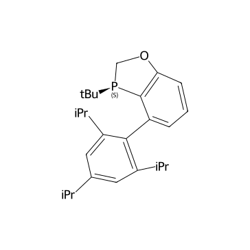 CC(C)c1cc(C(C)C)c(-c2cccc3c2[P@@](C(C)(C)C)CO3)c(C(C)C)c1